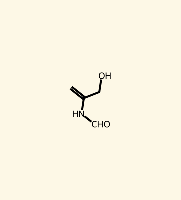 C=C(CO)NC=O